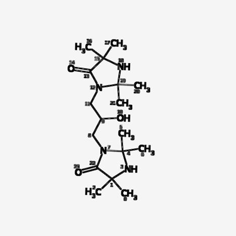 CC1(C)NC(C)(C)N(CC(O)CN2C(=O)C(C)(C)NC2(C)C)C1=O